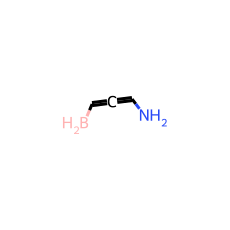 BC=C=CN